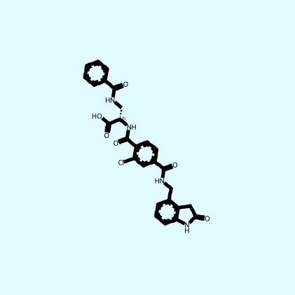 O=C1Cc2c(CNC(=O)c3ccc(C(=O)N[C@@H](CNC(=O)c4ccccc4)C(=O)O)c(Cl)c3)cccc2N1